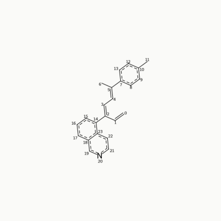 C=C/C(=C\C=C(/C)c1ccc(C)cc1)c1cccc2cnccc12